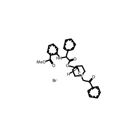 COC(=O)c1ccccc1NC(C(=O)O[C@H]1C[N+]2(CC(=O)c3ccccc3)CCC1CC2)c1ccccc1.[Br-]